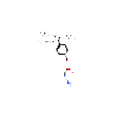 CO[Si](OC)(OC)c1ccc(COC(=O)C=[N+]=[N-])cc1